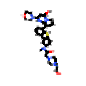 CN(C(=O)CN1CCN(CCO)CC1)c1ccc2sc3c(-c4cccn5c(=O)cc(N6CCOCC6)nc45)cccc3c2c1